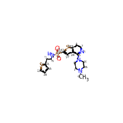 CN1CCN(c2nccc3sc(S(=O)(=O)NCCc4cccs4)cc23)CC1